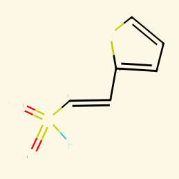 O=S(=O)(F)C=Cc1cccs1